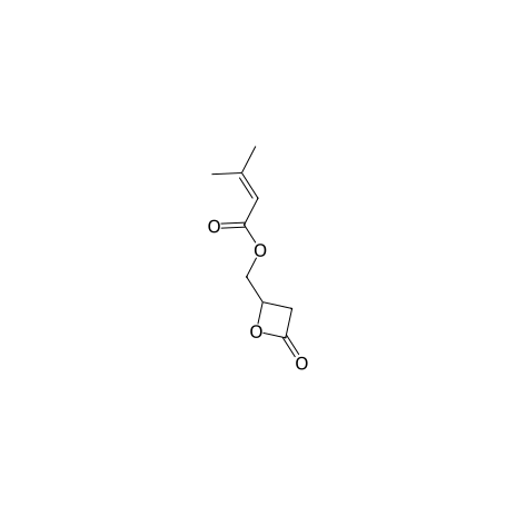 CC(C)=CC(=O)OCC1CC(=O)O1